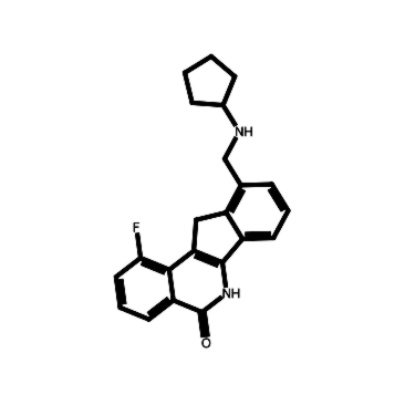 O=c1[nH]c2c(c3c(F)cccc13)Cc1c(CNC3CCCC3)cccc1-2